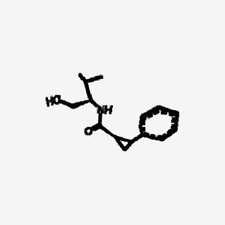 CC(C)[C@H](CO)NC(=O)[C@@H]1CC1c1ccccc1